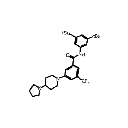 CC(C)(C)c1cc(NC(=O)c2cc(N3CCC(N4CCCC4)CC3)cc(C(F)(F)F)c2)cc(C(C)(C)C)c1